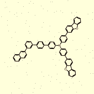 c1cc(-c2ccc(-c3ccc(N(c4ccc(-c5ccc6c(c5)oc5ccccc56)cc4)c4ccc(-c5ccc6c(c5)oc5ccccc56)cc4)cc3)cc2)cc(-c2ccc3ccccc3c2)c1